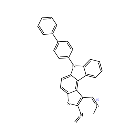 C=Nc1sc2ccc3c(c4ccccc4n3-c3ccc(-c4ccccc4)cc3)c2c1/C=N\C